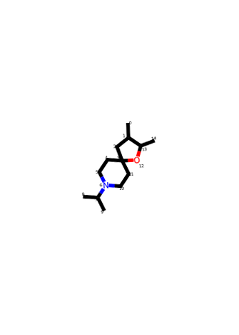 CC1CC2(CCN(C(C)C)CC2)OC1C